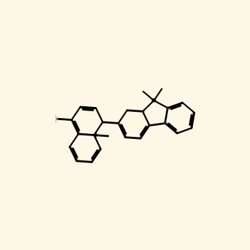 CC12C=CC=CC1=C(I)C=CC2C1=CC=C2c3ccccc3C(C)(C)C2C1